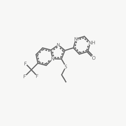 CCSc1c(-c2cc(=O)[nH]cn2)nc2ccc(C(F)(F)F)cn12